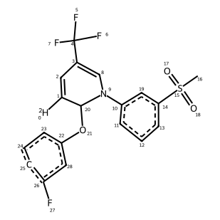 [2H]C1=CC(C(F)(F)F)=CN(c2cccc(S(C)(=O)=O)c2)C1Oc1cccc(F)c1